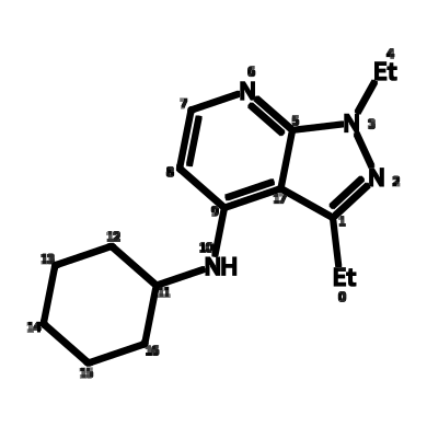 CCc1nn(CC)c2nccc(NC3CCCCC3)c12